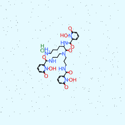 Cl.NCCCCC(NC(=O)c1cccc(=O)n1O)C(=O)N(CCCNC(=O)c1cccc(=O)n1O)CCCNC(=O)c1cccc(=O)n1O